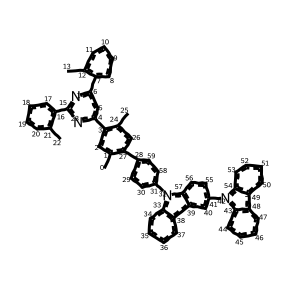 Cc1cc(-c2cc(-c3ccccc3C)nc(-c3ccccc3C)n2)c(C)cc1-c1ccc(-n2c3ccccc3c3cc(-n4c5ccccc5c5ccccc54)ccc32)cc1